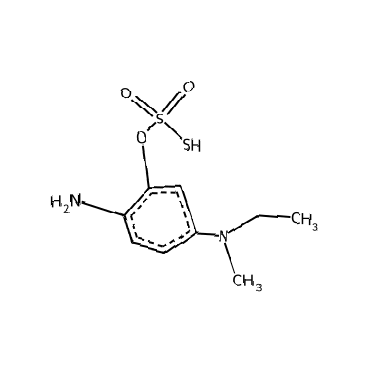 CCN(C)c1ccc(N)c(OS(=O)(=O)S)c1